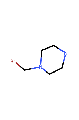 BrCN1CC[N]CC1